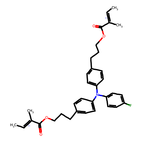 C/C=C(\C)C(=O)OCCCc1ccc(N(c2ccc(F)cc2)c2ccc(CCCOC(=O)/C(C)=C/C)cc2)cc1